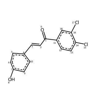 O=C(/C=C/c1ccc(O)cc1)c1ccc(Cl)c(Cl)c1